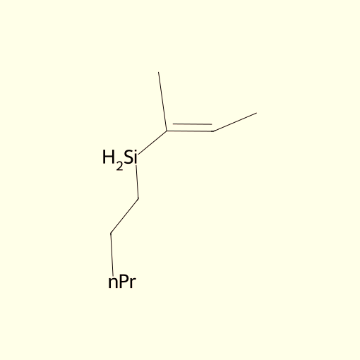 CC=C(C)[SiH2]CCCCC